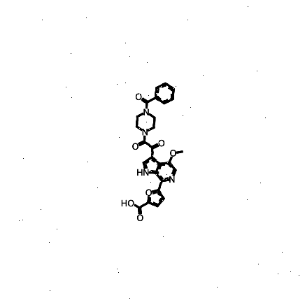 COc1cnc(-c2ccc(C(=O)O)o2)c2[nH]cc(C(=O)C(=O)N3CCN(C(=O)c4ccccc4)CC3)c12